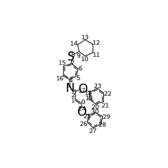 C(=C\C(=N\c1ccc(SC2CCCCC2)cc1)Oc1ccccc1)/Oc1ccccc1